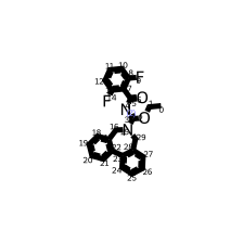 CCO/C(=N\C(=O)c1c(F)cccc1F)N1Cc2ccccc2-c2ccccc2C1